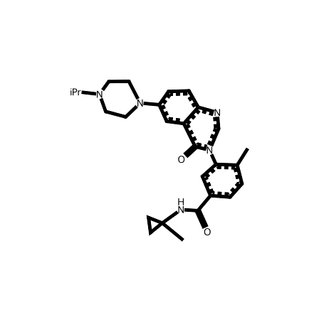 Cc1ccc(C(=O)NC2(C)CC2)cc1-n1cnc2ccc(N3CCN(C(C)C)CC3)cc2c1=O